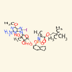 COc1nc(N)nc2c1nc(I)n2[C@@H]1O[C@H](COc2ccc3ccccc3c2O/[P+]([O-])=N/[C@@H](C)C(=O)OCCC(C)(C)C)[C@@H](O)[C@@]1(C)O